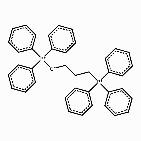 c1ccc([P+]([CH-]CCC[P+](c2ccccc2)(c2ccccc2)c2ccccc2)(c2ccccc2)c2ccccc2)cc1